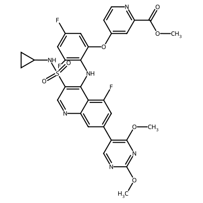 COC(=O)c1cc(Oc2cc(F)cc(F)c2Nc2c(S(=O)(=O)NC3CC3)cnc3cc(-c4cnc(OC)nc4OC)cc(F)c23)ccn1